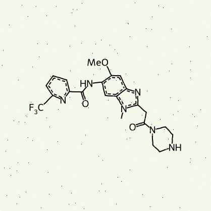 COc1cc2nc(CC(=O)N3CCNCC3)n(C)c2cc1NC(=O)c1cccc(C(F)(F)F)n1